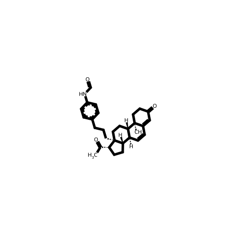 CC(=O)[C@H]1CC[C@H]2[C@@H]3C=CC4=CC(=O)CC[C@]4(C)[C@H]3CC[C@]12CCCc1ccc(NC=O)cc1